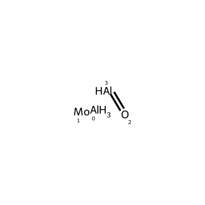 [AlH3].[Mo].[O]=[AlH]